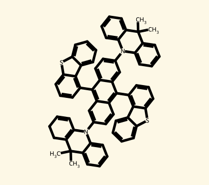 CC1(C)C2=C(C=CCC2)N(c2ccc3c(-c4cccc5sc6ccccc6c45)c4cc(N5c6ccccc6C(C)(C)c6ccccc65)ccc4c(-c4cccc5sc6ccccc6c45)c3c2)c2ccccc21